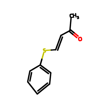 CC(=O)C=CSc1ccccc1